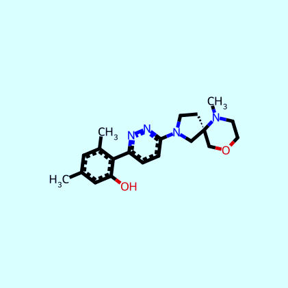 Cc1cc(C)c(-c2ccc(N3CC[C@]4(COCCN4C)C3)nn2)c(O)c1